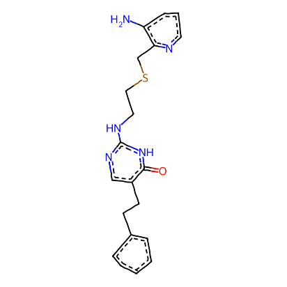 Nc1cccnc1CSCCNc1ncc(CCc2ccccc2)c(=O)[nH]1